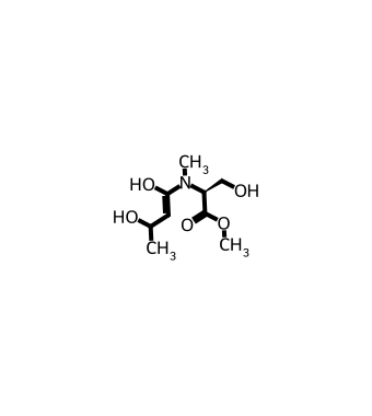 COC(=O)[C@H](CO)N(C)/C(O)=C/C(C)O